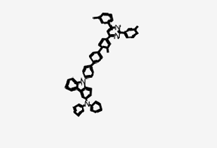 Cc1cccc(-c2cc(-c3ccc(-c4ccc(-c5ccc(-n6c7ccccc7c7cc(N(c8ccccc8)c8ccccc8)ccc76)cc5)cc4)c(C)c3)nc(-c3cccc(C)c3)n2)c1